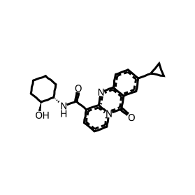 O=C(N[C@H]1CCCC[C@@H]1O)c1cccn2c(=O)c3cc(C4CC4)ccc3nc12